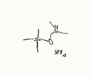 C[SiH](C)O[Si](C)(C)C.[SiH4]